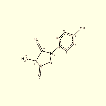 NN1C(=O)CN(c2ccc(F)cc2)C1=O